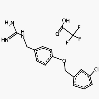 N=C(N)NCc1ccc(OCc2cccc(Cl)c2)cc1.O=C(O)C(F)(F)F